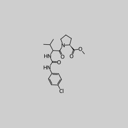 COC(=O)[C@@H]1CCCN1C(=O)C(NC(=O)Nc1ccc(Cl)cc1)C(C)C